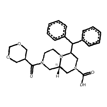 O=C(O)N1CC(C(c2ccccc2)c2ccccc2)N2CCN(C(=O)C3COCOC3)C[C@H]2C1